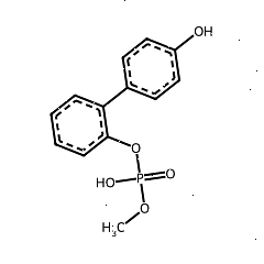 COP(=O)(O)Oc1ccccc1-c1ccc(O)cc1